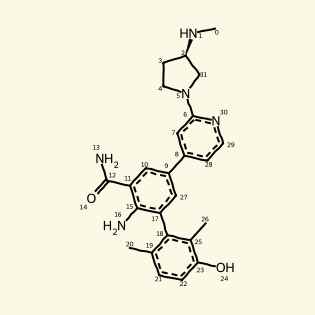 CN[C@@H]1CCN(c2cc(-c3cc(C(N)=O)c(N)c(-c4c(C)ccc(O)c4C)c3)ccn2)C1